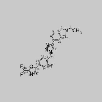 CCN1Cc2ccc(-c3cn(Cc4ccc(-c5nnc(C(F)F)o5)cc4F)nn3)cc2C1